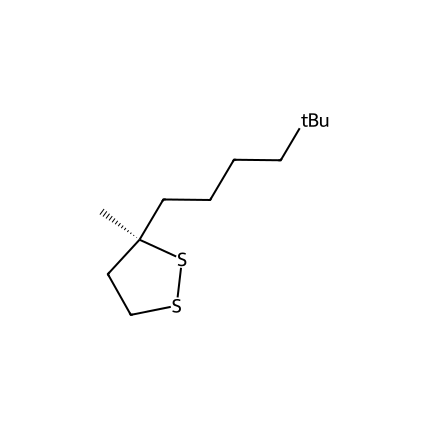 CC(C)(C)CCCC[C@]1(C)CCSS1